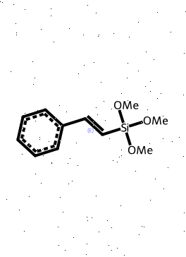 CO[Si](/C=C/c1ccccc1)(OC)OC